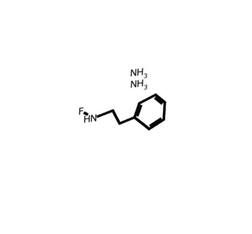 FNCCc1ccccc1.N.N